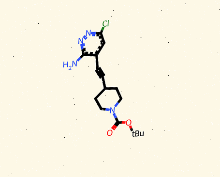 CC(C)(C)OC(=O)N1CCC(C#Cc2cc(Cl)nnc2N)CC1